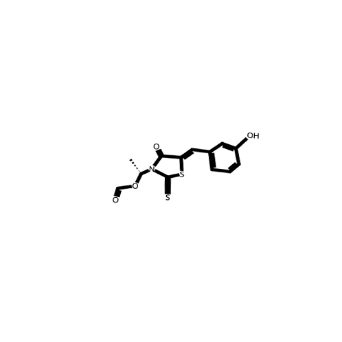 C[C@@H](OC=O)N1C(=O)/C(=C/c2cccc(O)c2)SC1=S